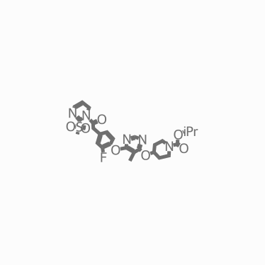 Cc1c(Oc2ccc(CC(=O)N3CC=CN=C3S(C)(=O)=O)cc2F)ncnc1OC1CCN(C(=O)OC(C)C)CC1